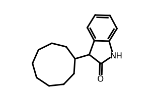 O=C1Nc2ccccc2C1C1CCCCCCCC1